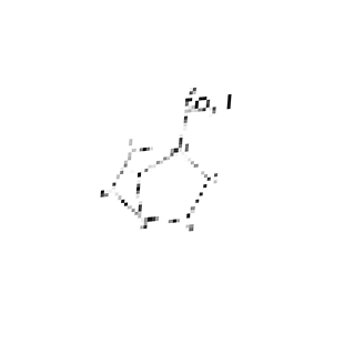 O=S(=O)(O)C12CCC(CC1)C2